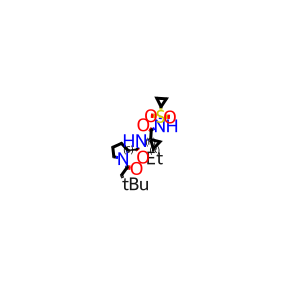 CC[C@@H]1C[C@]1(NC(=O)[C@@H]1CCCN1C(=O)CC(C)(C)C)C(=O)NS(=O)(=O)C1CC1